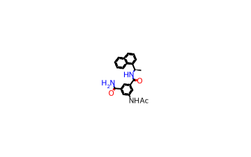 CC(=O)Nc1cc(C(N)=O)cc(C(=O)N[C@H](C)c2cccc3ccccc23)c1